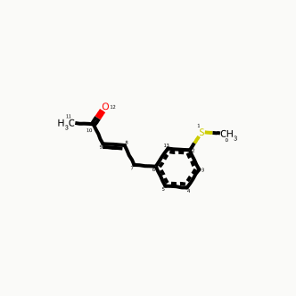 CSc1cccc(CC=CC(C)=O)c1